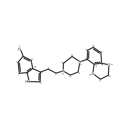 Clc1ccc2[nH]cc(CCN3CCN(c4cccc5c4OCCO5)CC3)c2c1